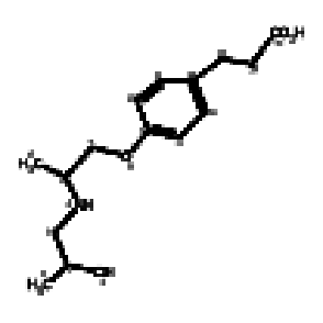 CC(O)CNC(C)COc1ccc(CCC(=O)O)cc1